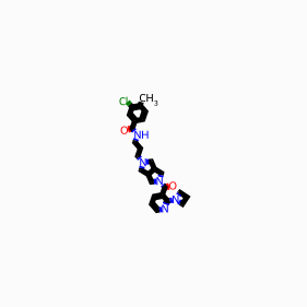 Cc1ccc(C(=O)NCCCN2CC3CN(C(=O)c4cccnc4N4CCC4)CC3C2)cc1Cl